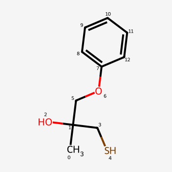 CC(O)(CS)COc1ccccc1